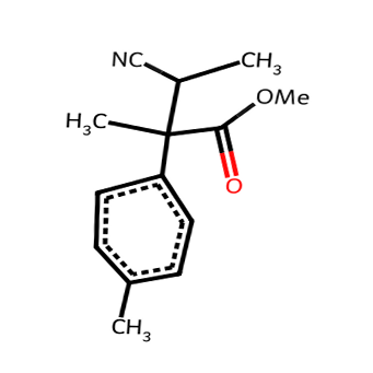 COC(=O)C(C)(c1ccc(C)cc1)C(C)C#N